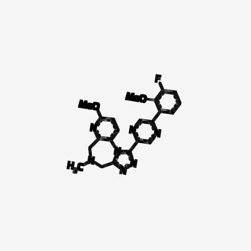 COc1ccc2c(n1)CN(C)Cc1nnc(-c3cnc(-c4cccc(F)c4OC)cn3)n1-2